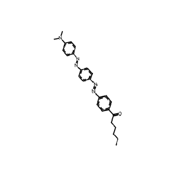 CCCCCC(=O)c1ccc(N=Nc2ccc(N=Nc3ccc(N(C)C)cc3)cc2)cc1